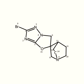 Brc1nc2n(n1)CC1(CN3CCC1CC3)O2